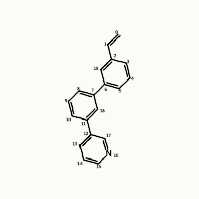 C=Cc1cccc(-c2cccc(-c3cccnc3)c2)c1